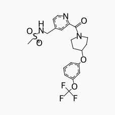 CS(=O)(=O)NCc1ccnc(C(=O)N2CCC(Oc3cccc(OC(F)(F)F)c3)CC2)c1